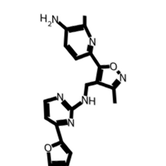 Cc1nc(-c2onc(C)c2CNc2nccc(-c3ccco3)n2)ccc1N